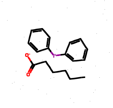 CCCCCC(=O)[O-].c1ccc([I+]c2ccccc2)cc1